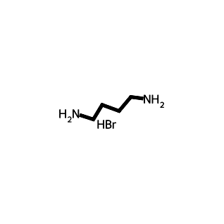 Br.NCCCCN